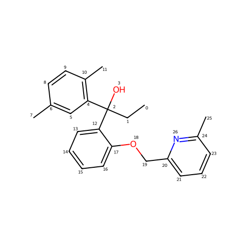 CCC(O)(c1cc(C)ccc1C)c1ccccc1OCc1cccc(C)n1